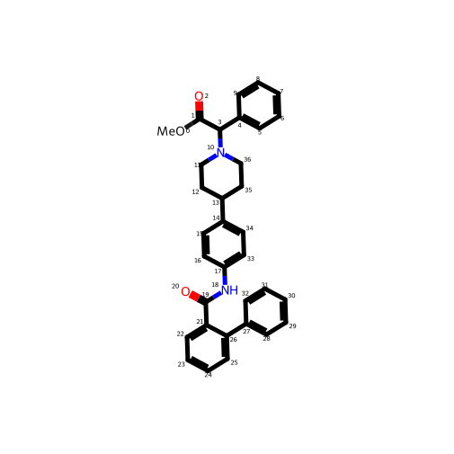 COC(=O)C(c1ccccc1)N1CCC(c2ccc(NC(=O)c3ccccc3-c3ccccc3)cc2)CC1